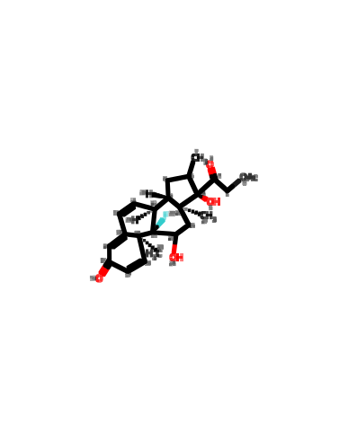 CC(=O)OCC(=O)[C@@]1(O)C(C)C[C@H]2[C@@H]3C=CC4=CC(=O)C=C[C@]4(C)[C@@]3(F)C(O)C[C@@]21C